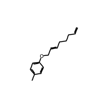 C=CCCCC=CCOc1ccc(C)cc1